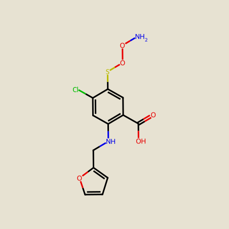 NOOSc1cc(C(=O)O)c(NCc2ccco2)cc1Cl